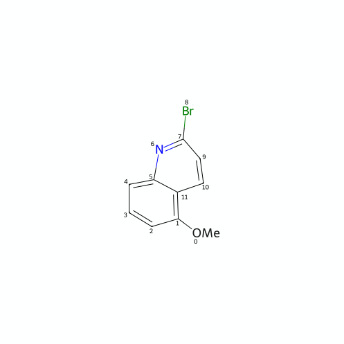 COc1cccc2nc(Br)ccc12